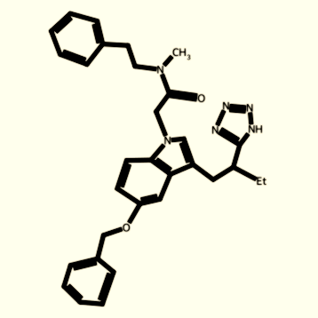 CCC(Cc1cn(CC(=O)N(C)CCc2ccccc2)c2ccc(OCc3ccccc3)cc12)c1nnn[nH]1